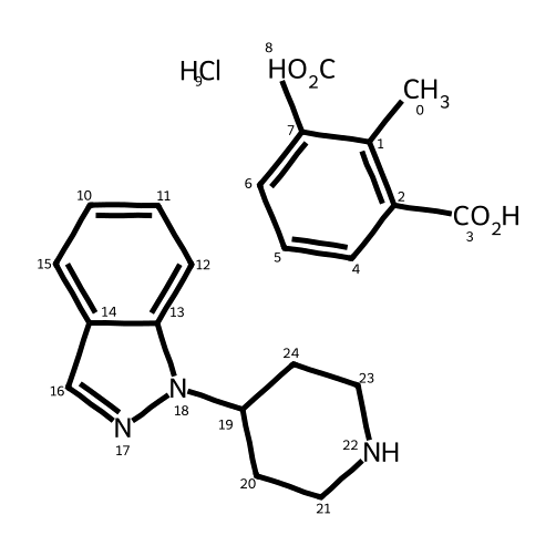 Cc1c(C(=O)O)cccc1C(=O)O.Cl.c1ccc2c(c1)cnn2C1CCNCC1